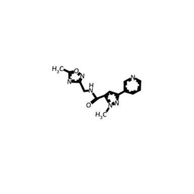 Cc1nc(CNC(=O)c2cc(-c3cccnc3)nn2C)no1